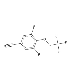 N#Cc1cc(F)c(OCC(F)(F)F)c(F)c1